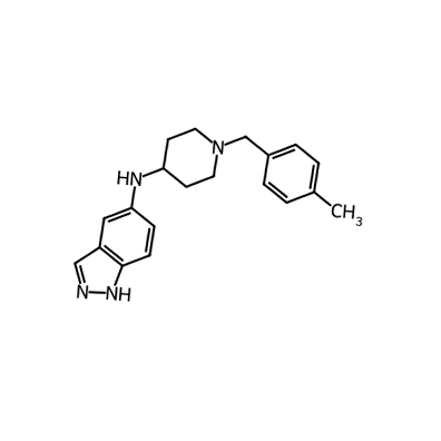 Cc1ccc(CN2CCC(Nc3ccc4[nH]ncc4c3)CC2)cc1